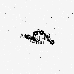 CC(=O)N1CCN(C(=O)[C@H](Cc2ccc(Oc3ccc(CCC(=O)NOCc4ccccc4)cc3)cc2)NC(=O)OC(C)(C)C)CC1